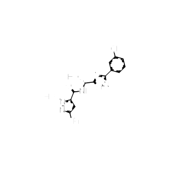 Cc1cccc(-c2noc([C@H](C)NC(=O)c3cc(C(C)C)nn3C)n2)c1